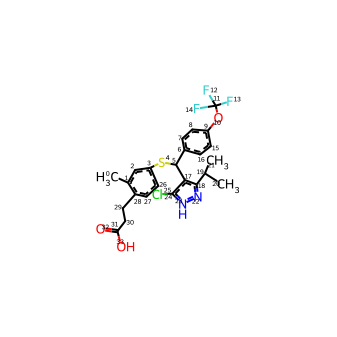 Cc1cc(SC(c2ccc(OC(F)(F)F)cc2)c2c(C(C)C)n[nH]c2Cl)ccc1CCC(=O)O